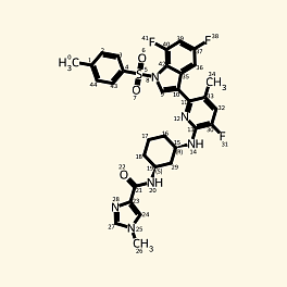 Cc1ccc(S(=O)(=O)n2cc(-c3nc(N[C@@H]4CCC[C@H](NC(=O)c5cn(C)cn5)C4)c(F)cc3C)c3cc(F)cc(F)c32)cc1